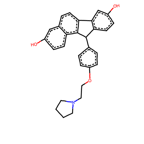 Oc1ccc2c(c1)-c1ccc3cc(O)ccc3c1C2c1ccc(OCCN2CCCC2)cc1